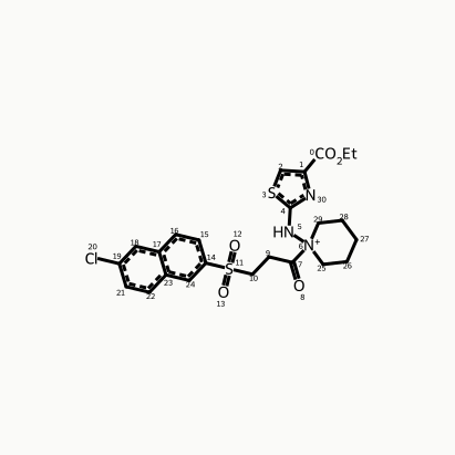 CCOC(=O)c1csc(N[N+]2(C(=O)CCS(=O)(=O)c3ccc4cc(Cl)ccc4c3)CCCCC2)n1